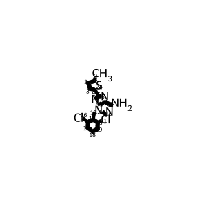 Cc1ccc(-c2nc3c(N)ncn(Cc4c(Cl)cccc4Cl)c-3n2)s1